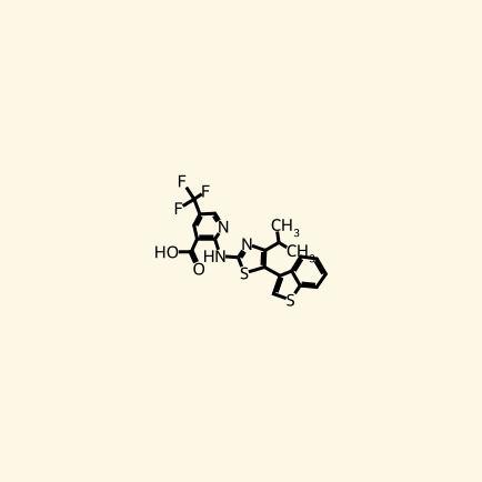 CC(C)c1nc(Nc2ncc(C(F)(F)F)cc2C(=O)O)sc1-c1csc2ccccc12